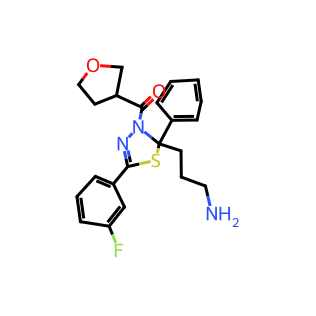 NCCCC1(c2ccccc2)SC(c2cccc(F)c2)=NN1C(=O)C1CCOC1